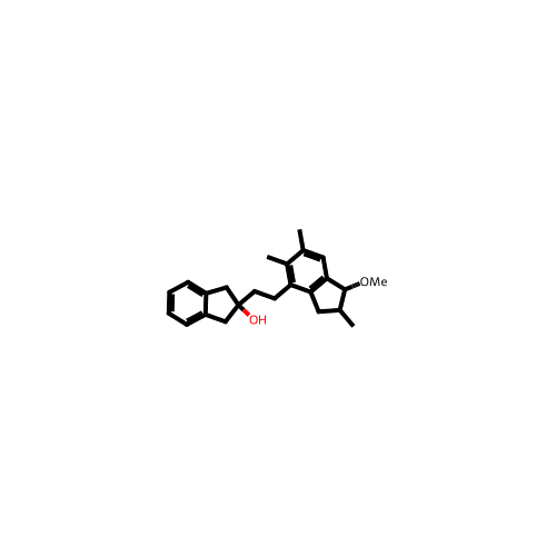 COC1c2cc(C)c(C)c(CCC3(O)Cc4ccccc4C3)c2CC1C